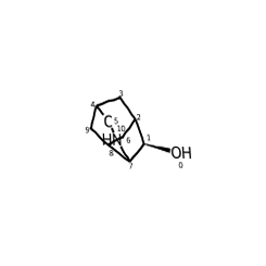 O[C@@H]1C2CC3CNC1C(C3)C2